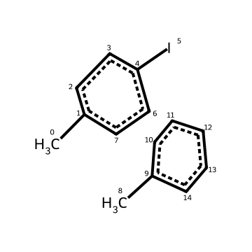 Cc1ccc(I)cc1.Cc1ccccc1